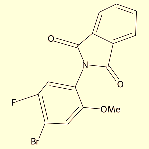 COc1cc(Br)c(F)cc1N1C(=O)c2ccccc2C1=O